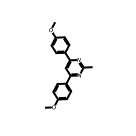 COc1ccc(-c2cc(-c3ccc(OC)cc3)nc(C)n2)cc1